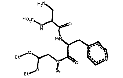 CCOC(CN(C(=O)C(Cc1ccncc1)NC(=O)C(CN)NC(=O)O)C(C)C)OCC